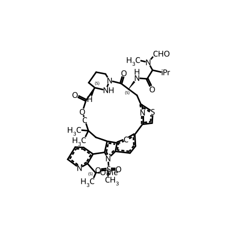 CO[C@@H](C)c1ncccc1-c1c2c3cc(ccc3n1S(C)(=O)=O)-c1csc(n1)C[C@H](NC(=O)C(C(C)C)N(C)C=O)C(=O)N1CCC[C@H](N1)C(=O)OCC(C)(C)C2